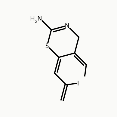 C=C(I)/C=C1/SC(N)=NC/C1=C/C